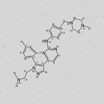 Cc1ccc(-c2c(-c3ccnc(Nc4ccc(CN5CCN(C)CC5)cc4)n3)cnn2CCN(C)C)cc1